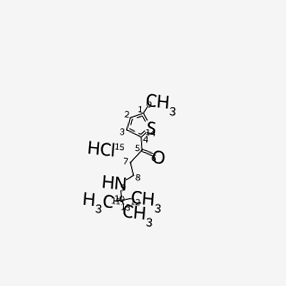 Cc1ccc(C(=O)CCNC(C)(C)C)s1.Cl